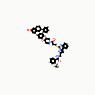 O=C(NCc1cc2c3ccccc3nc(SCCC(=O)N3CCC(Oc4ccc([C@@H]5c6ccc(O)cc6CC[C@@H]5c5ccccc5)cc4)CC3)n2n1)c1ccccc1OC(F)(F)F